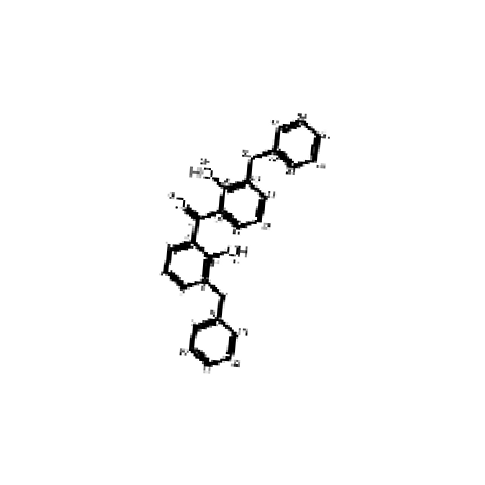 O=C(c1cccc(Cc2ccccc2)c1O)c1cccc(Cc2ccccc2)c1O